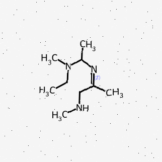 CCN(C)C(C)/N=C(/C)CNC